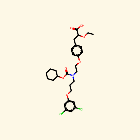 CCOC(Cc1ccc(OCCN(CCCOc2cc(Cl)cc(Cl)c2)C(=O)OC2CCCCC2)cc1)C(=O)O